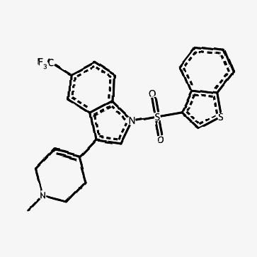 CN1CC=C(c2cn(S(=O)(=O)c3csc4ccccc34)c3ccc(C(F)(F)F)cc23)CC1